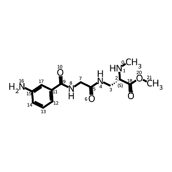 CN[C@@H](CNC(=O)CNC(=O)c1cccc(N)c1)C(=O)OC